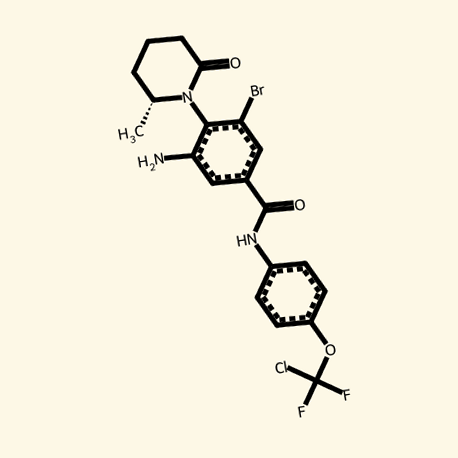 C[C@@H]1CCCC(=O)N1c1c(N)cc(C(=O)Nc2ccc(OC(F)(F)Cl)cc2)cc1Br